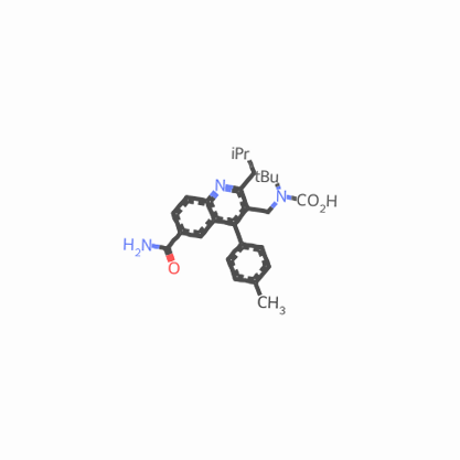 Cc1ccc(-c2c(CN(C(=O)O)C(C)(C)C)c(CC(C)C)nc3ccc(C(N)=O)cc23)cc1